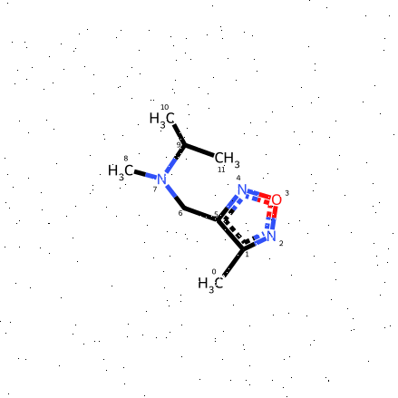 Cc1nonc1CN(C)C(C)C